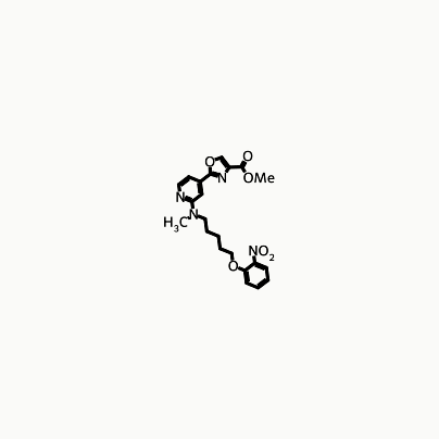 COC(=O)c1coc(-c2ccnc(N(C)CCCCCOc3ccccc3[N+](=O)[O-])c2)n1